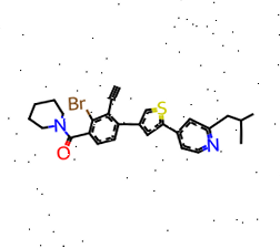 C#Cc1c(-c2csc(-c3ccnc(CC(C)C)c3)c2)ccc(C(=O)N2CCCCC2)c1Br